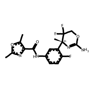 Cc1nc(C(=O)Nc2ccc(F)c([C@@]3(C)N=C(N)OCC3(F)F)c2)c(C)o1